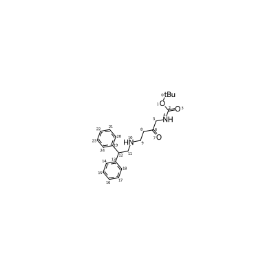 CC(C)(C)OC(=O)NCC(=O)CCNCC(c1ccccc1)c1ccccc1